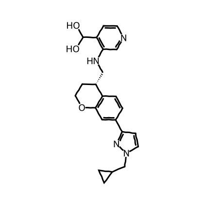 OC(O)c1ccncc1NC[C@H]1CCOc2cc(-c3ccn(CC4CC4)n3)ccc21